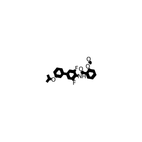 CC(C)Oc1cccc(-c2cc(F)c(NC(=O)c3ccccc3OC=O)c(F)c2)c1